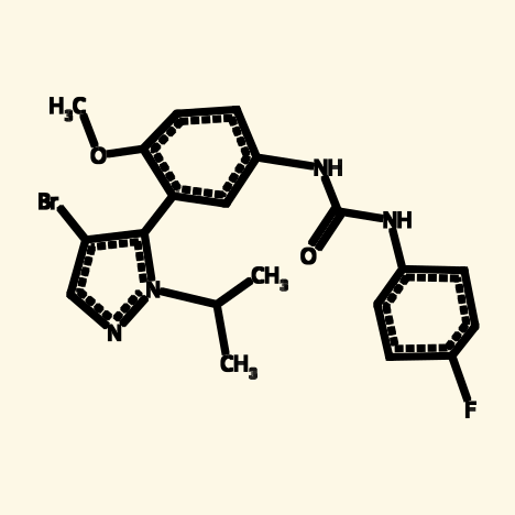 COc1ccc(NC(=O)Nc2ccc(F)cc2)cc1-c1c(Br)cnn1C(C)C